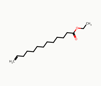 C=CCCCCCCCCCCC(=O)OCC